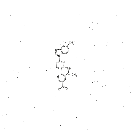 Cc1ccc2c(c1)ncn2-c1ccnc(N[C@H](C)c2cccc([N+](=O)[O-])c2)n1